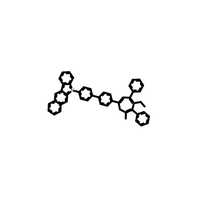 CCC1=C(c2ccccc2)C=C(c2ccc(-c3ccc(-n4c5ccccc5c5cc6ccccc6cc54)cc3)cc2)CC(C)=C1c1ccccc1